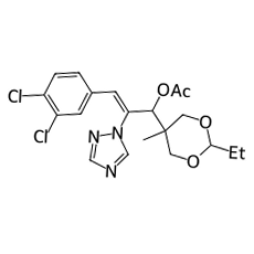 CCC1OCC(C)(C(OC(C)=O)/C(=C/c2ccc(Cl)c(Cl)c2)n2cncn2)CO1